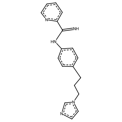 N=C(Nc1ccc(CCCn2ccnc2)cc1)c1ccccn1